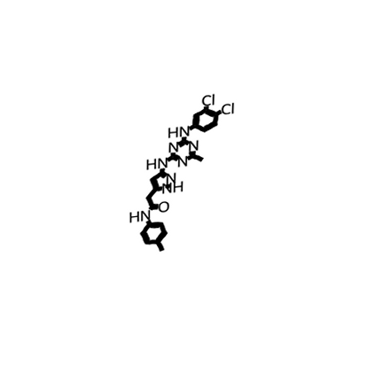 Cc1ccc(NC(=O)Cc2cc(Nc3nc(C)nc(Nc4ccc(Cl)c(Cl)c4)n3)n[nH]2)cc1